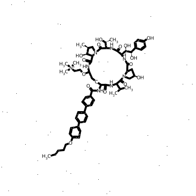 CCCCCOc1ccc(-c2ccc(-c3ccc(C(=O)NC4CCC(OCC[N+](C)(C)C)NC(=O)C5[C@@H](O)[C@@H](C)CN5C(=O)C([C@@H](C)O)NC(=O)C([C@H](O)[C@@H](O)c5ccc(O)cc5)NC(=O)C5C[C@@H](O)CN5C(=O)C(C(C)C)NC4=O)cc3)cc2)cc1